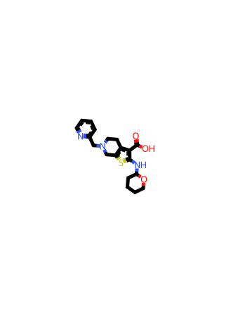 O=C(O)c1c(NC2CCCCO2)sc2c1CCN(Cc1ccccn1)C2